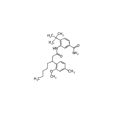 CCCCCC(CC(=O)Nc1cc(C(N)=O)ccc1C(C)(C)C)c1ccc(C)cc1OC